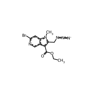 CCOC(=O)c1c(CN=[N+]=[N-])n(C)c2cc(Br)ncc12